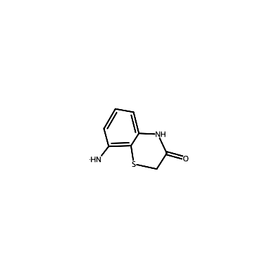 [NH]c1cccc2c1SCC(=O)N2